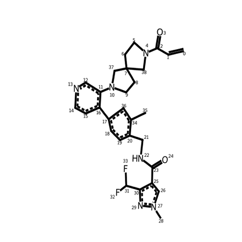 C=CC(=O)N1CCC2(CCN(c3cnccc3-c3ccc(CNC(=O)c4cn(C)nc4C(F)F)c(C)c3)C2)C1